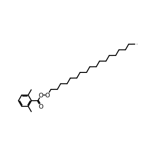 [CH2]CCCCCCCCCCCCCCCCCOOC(=O)c1c(C)cccc1C